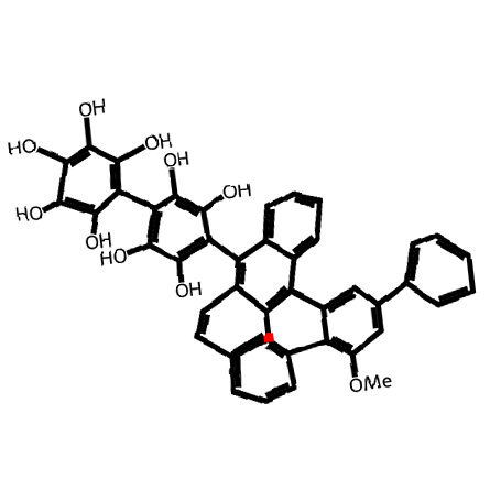 COc1cc(-c2ccccc2)cc(-c2c3ccccc3c(-c3c(O)c(O)c(-c4c(O)c(O)c(O)c(O)c4O)c(O)c3O)c3ccccc23)c1-c1ccccc1